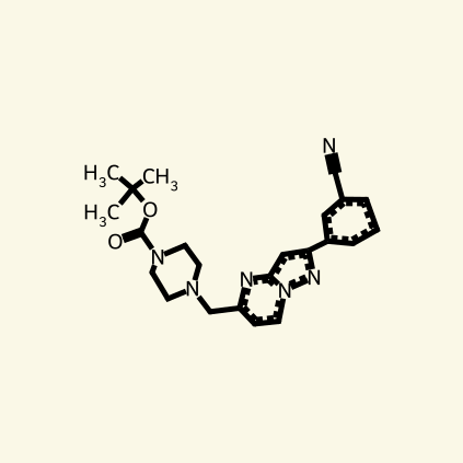 CC(C)(C)OC(=O)N1CCN(Cc2ccn3nc(-c4cccc(C#N)c4)cc3n2)CC1